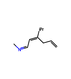 C=CC/C(=C\C=N/C)C(C)C